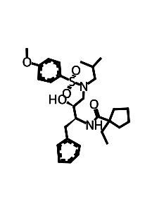 CCC1(C(=O)N[C@@H](Cc2ccccc2)[C@@H](O)CN(CC(C)C)S(=O)(=O)c2ccc(OC)cc2)CCCC1